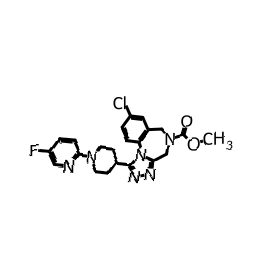 COC(=O)N1Cc2cc(Cl)ccc2-n2c(nnc2C2CCN(c3ccc(F)cn3)CC2)C1